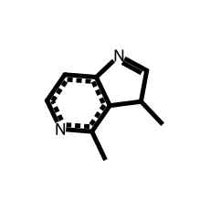 Cc1nccc2c1C(C)C=N2